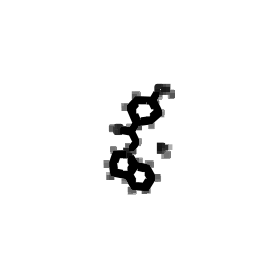 Cc1ccc(C(=O)C[n+]2cccc3ccccc32)cc1.[Br-]